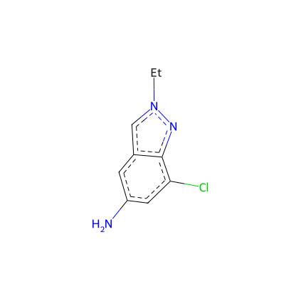 CCn1cc2cc(N)cc(Cl)c2n1